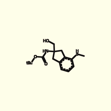 CBc1cccc2c1CC(CO)(NC(=O)OC(C)(C)C)C2